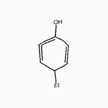 CCC1C=C=C(O)C=C1